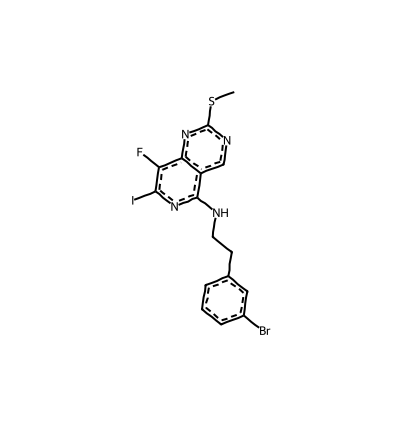 CSc1ncc2c(NCCc3cccc(Br)c3)nc(I)c(F)c2n1